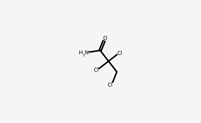 NC(=O)C(Cl)(Cl)CCl